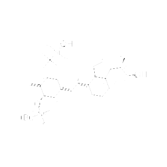 C=C1[C@H](CC(C)(C)[Si](C)(C)O)C/C(=C\C=C2/CCC[C@@]3(C)C2CC[C@@H]3[C@@H](C)CO)C[C@H]1O[Si](C)(C)C(C)(C)C